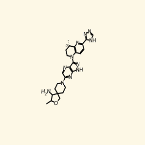 CC1OCC2(CCN(c3cnc4c(N5CC[C@H](C)c6nc(-c7nnc[nH]7)ccc65)n[nH]c4n3)CC2)C1N